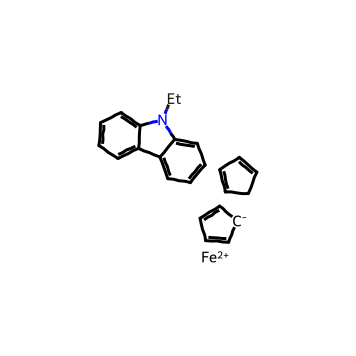 C1=CCC=C1.CCn1c2ccccc2c2ccccc21.[Fe+2].c1cc[cH-]c1